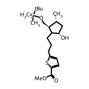 COC(=O)c1ccc(CCCC2[C@@H](CO[Si](C)(C)C(C)(C)C)[C@H](C)C[C@@H]2O)s1